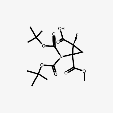 COC(=O)C1(N(C(=O)OC(C)(C)C)C(=O)OC(C)(C)C)C[C@@]1(F)C(=O)O